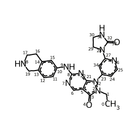 CCn1c(=O)c2cnc(Nc3ccc4c(c3)CCNC4)nc2n1-c1ccnc(N2CCNC2=O)c1